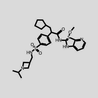 COS1=C(NC(=O)C(CC2CCCC2)c2ccc(S(=O)(=O)NCC3CN(C(C)C)C3)cc2)Nc2cccnc21